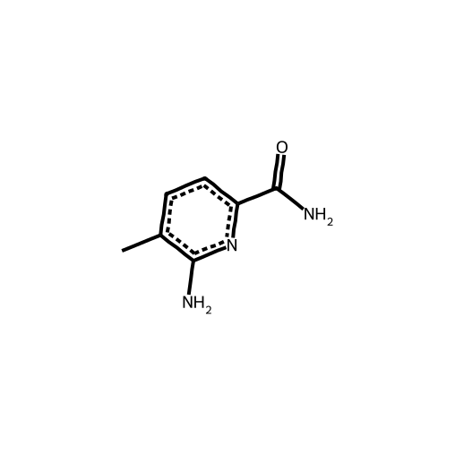 Cc1ccc(C(N)=O)nc1N